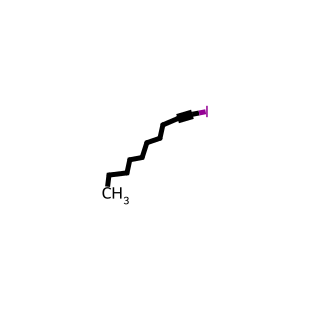 CCCCCCCCC#CI